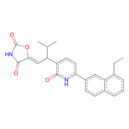 CCc1cccc2ccc(-c3ccc(C(C=C4OC(=O)NC4=O)C(C)C)c(=O)[nH]3)cc12